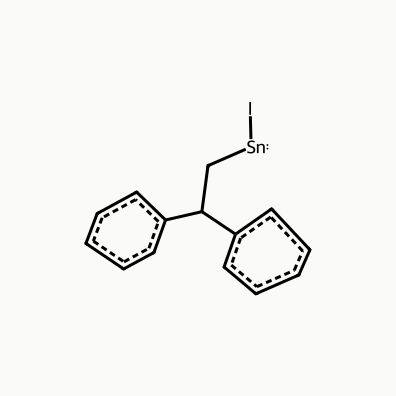 [I][Sn][CH2]C(c1ccccc1)c1ccccc1